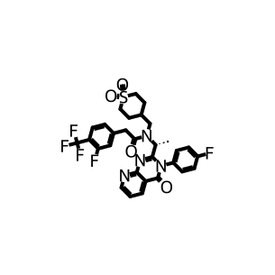 C[C@H](c1nc2ncccc2c(=O)n1-c1ccc(F)cc1)N(CC1CCS(=O)(=O)CC1)C(=O)Cc1ccc(C(F)(F)F)c(F)c1